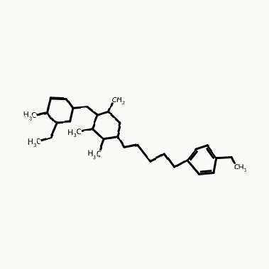 CCc1ccc(CCCCCC2CC(C)C(CC3CCC(C)C(CC)C3)C(C)C2C)cc1